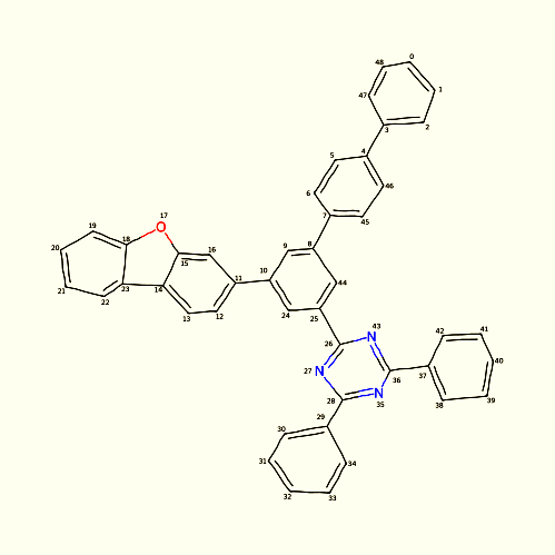 c1ccc(-c2ccc(-c3cc(-c4ccc5c(c4)oc4ccccc45)cc(-c4nc(-c5ccccc5)nc(-c5ccccc5)n4)c3)cc2)cc1